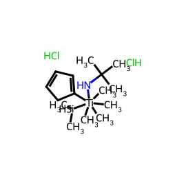 C[SiH](C)[Ti]([CH3])([CH3])([CH3])([CH3])([NH]C(C)(C)C)[C]1=CC=CC1.Cl.Cl